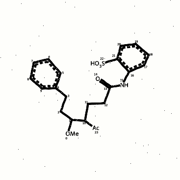 COC(CCc1ccccc1)C(CCC(=O)Nc1ccccc1S(=O)(=O)O)C(C)=O